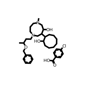 CC(CCN1CCCN(C)CC(O)C(C2CCCCCCCC2O)C1)OCc1ccccc1.O=C(O)c1ccc(Cl)cc1